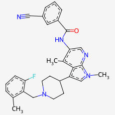 Cc1cccc(F)c1CN1CCC(c2cn(C)c3ncc(NC(=O)c4cccc(C#N)c4)c(C)c23)CC1